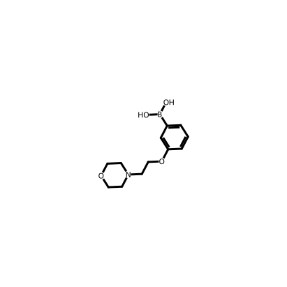 OB(O)c1cccc(OCCN2CCOCC2)c1